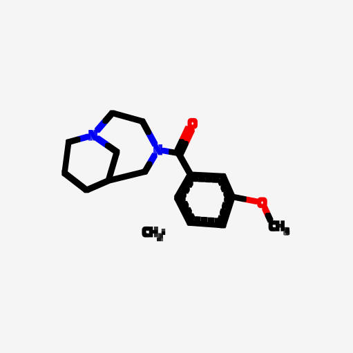 COc1cccc(C(=O)N2CCN3CCCC(C3)C2)c1.[CH2]